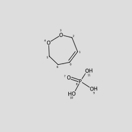 C1=CCOOCC1.O=P(O)(O)O